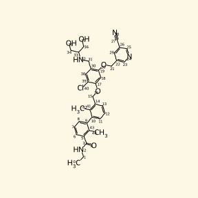 CCNC(=O)c1cccc(-c2cccc(COc3cc(OCc4cncc(C#N)c4)c(CNC(CO)CO)cc3Cl)c2C)c1C